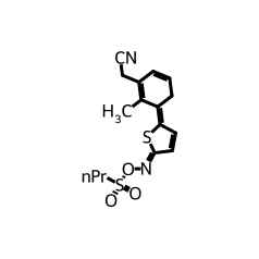 CCCS(=O)(=O)ON=C1C=CC(=C2CC=CC(CC#N)=C2C)S1